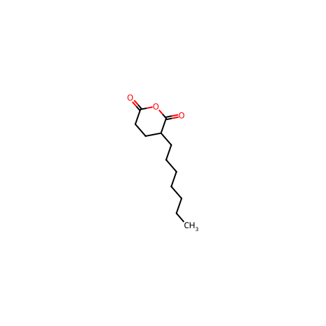 CCCCCCCC1CCC(=O)OC1=O